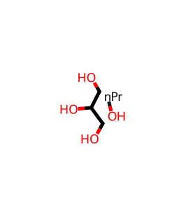 OCC(O)CO.[CH2]CCO